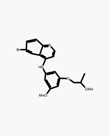 COc1cc(Nc2ccnc3ccc(Br)cc23)cc(OCC(C)OC)c1